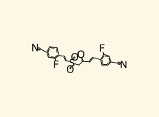 N#Cc1ccc(C=CS(=O)(=O)CC(=O)/C=C/c2ccc(C#N)cc2F)c(F)c1